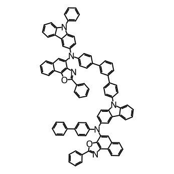 c1ccc(-c2ccc(N(c3ccc4c(c3)c3ccccc3n4-c3ccc(-c4cccc(-c5ccc(N(c6ccc7c(c6)c6ccccc6n7-c6ccccc6)c6cc7ccccc7c7oc(-c8ccccc8)nc67)cc5)c4)cc3)c3cc4ccccc4c4nc(-c5ccccc5)oc34)cc2)cc1